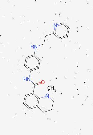 CN1CCCc2cccc(C(=O)Nc3ccc(NCCc4ccccn4)cc3)c21